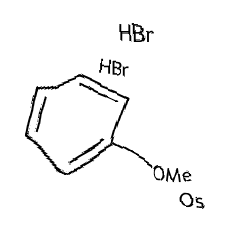 Br.Br.COc1ccccc1.[Os]